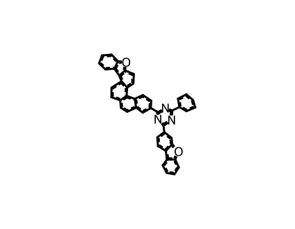 c1ccc(-c2nc(-c3ccc4c(ccc5ccc6c(ccc7oc8ccccc8c76)c54)c3)nc(-c3ccc4c(c3)oc3ccccc34)n2)cc1